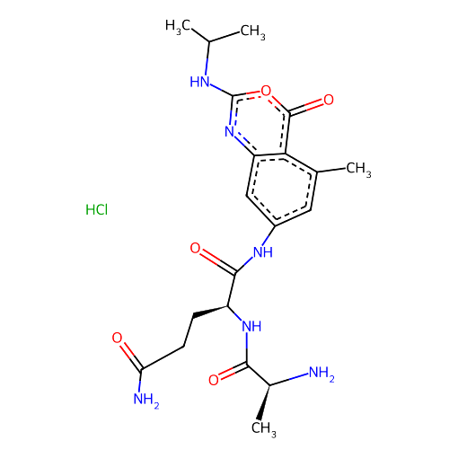 Cc1cc(NC(=O)[C@H](CCC(N)=O)NC(=O)[C@H](C)N)cc2nc(NC(C)C)oc(=O)c12.Cl